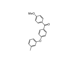 COc1ccc(C(=O)c2ccc(Oc3cccc(C)c3)cc2)cc1